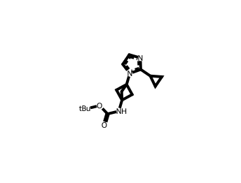 CC(C)(C)OC(=O)NC12CC(n3ccnc3C3CC3)(C1)C2